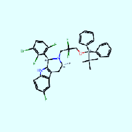 C[C@@H]1Cc2c([nH]c3ccc(F)cc23)[C@@H](c2c(F)ccc(Br)c2F)N1CC(F)(F)CO[Si](c1ccccc1)(c1ccccc1)C(C)(C)C